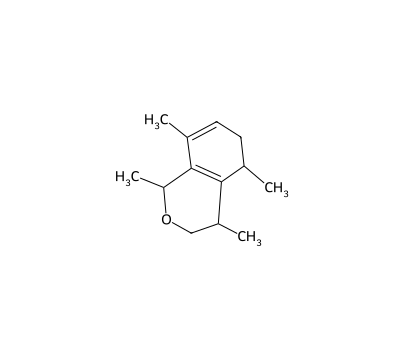 CC1=CCC(C)C2=C1C(C)OCC2C